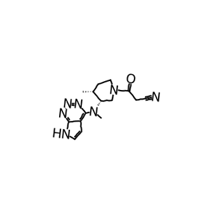 C[C@@H]1CCN(C(=O)CC#N)C[C@@H]1N(C)c1nnnc2[nH]ccc12